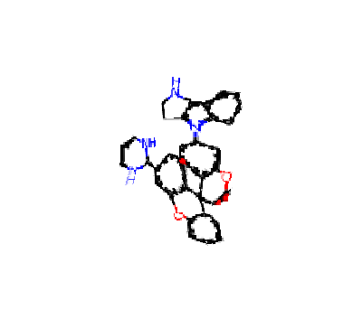 C1=CNC(c2ccc3c(c2)Oc2ccccc2C32c3ccccc3Oc3cc(-n4c5c(c6ccccc64)NCC5)ccc32)NC1